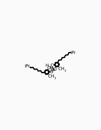 Cc1cc(CCCCCCCC(C)C)cc(C)c1OOOc1c(C)cc(CCCCCCCC(C)C)cc1C